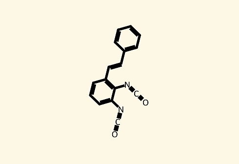 O=C=Nc1cccc(C=Cc2ccccc2)c1N=C=O